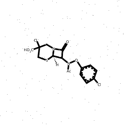 CC(=O)N(Oc1ccc(Cl)cc1)C1C(=O)N2CC(Cl)(C(=O)O)CS[C@H]12